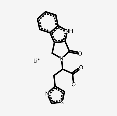 O=C([O-])C(Cc1cscn1)N1Cc2c([nH]c3ccccc23)C1=O.[Li+]